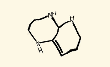 C1=C2NCCNC2NCC1